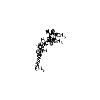 CCCCOCCOCC(=O)Nc1cccc(NC=C=c2sc(=C=C(C#N)C(=O)NCC)n(CC)c2=O)c1